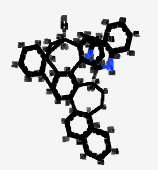 Cc1nc([C@@H]2CCc3c(ccc4ccccc34)-c3cc4c5c(c32)-c2ccccc2[C@H](CC5)c2ccccc2-4)nc2ccccc12